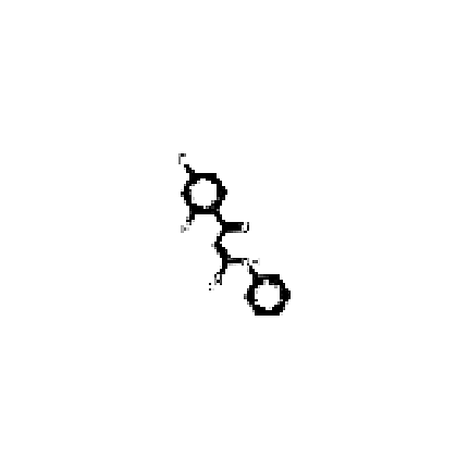 NC(=CC(=O)c1ccc(F)cc1F)Nc1ccccc1